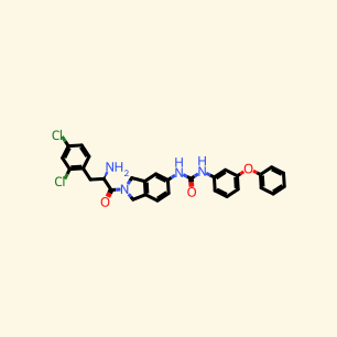 N[C@H](Cc1ccc(Cl)cc1Cl)C(=O)N1Cc2ccc(NC(=O)Nc3cccc(Oc4ccccc4)c3)cc2C1